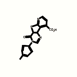 Cc1ccc(N2C=NC3c4c(C(=O)O)ccnc4SC3C2=O)cc1